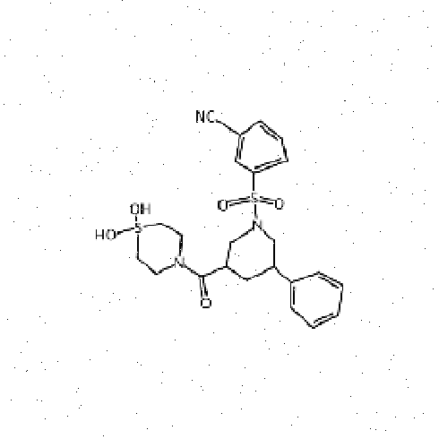 N#Cc1cccc(S(=O)(=O)N2CC(C(=O)N3CCS(O)(O)CC3)CC(c3ccccc3)C2)c1